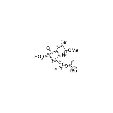 COc1nc2c(cc1Br)c(=O)c(C(=O)O)cn2[C@H](CO[Si](C)(C)C(C)(C)C)C(C)C